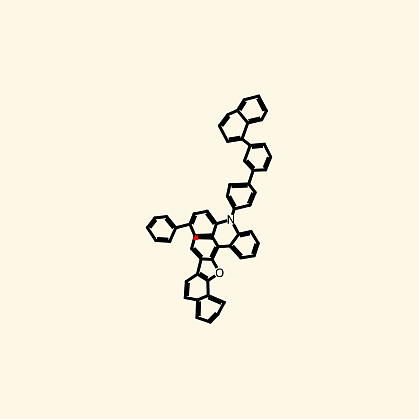 c1ccc(-c2ccc(N(c3ccc(-c4cccc(-c5cccc6ccccc56)c4)cc3)c3ccccc3-c3cccc4c3oc3c5ccccc5ccc43)cc2)cc1